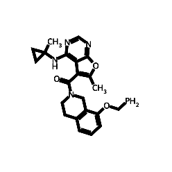 Cc1oc2ncnc(NC3(C)CC3)c2c1C(=O)N1CCc2cccc(OCP)c2C1